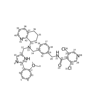 COc1ccccc1-c1ncc(CN(Cc2cccc(CNC(=O)c3c(Cl)cncc3Cl)c2)C2CCCc3cccnc32)[nH]1